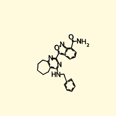 NC(=O)c1cccc2c(-c3nc4c(c(NCc5ccccc5)n3)CCCCC4)onc12